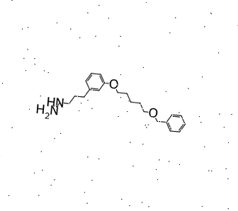 NNCCCc1cccc(OCCCCCOCc2ccccc2)c1